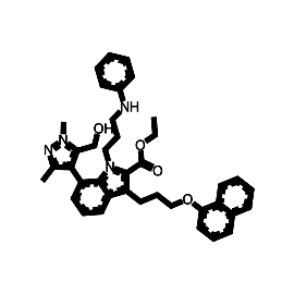 CCOC(=O)c1c(CCCOc2cccc3ccccc23)c2cccc(-c3c(C)nn(C)c3CO)c2n1CCCNc1ccccc1